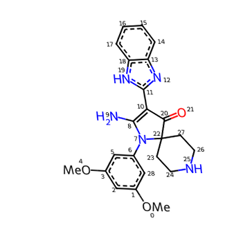 COc1cc(OC)cc(N2C(N)=C(c3nc4ccccc4[nH]3)C(=O)C23CCNCC3)c1